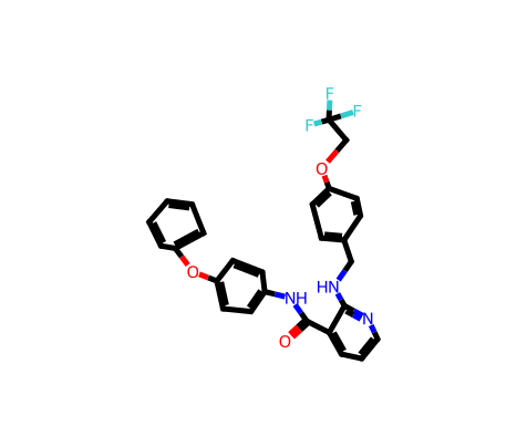 O=C(Nc1ccc(Oc2ccccc2)cc1)c1cccnc1NCc1ccc(OCC(F)(F)F)cc1